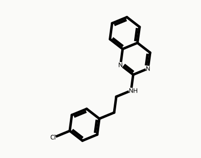 Clc1ccc(CCNc2ncc3ccccc3n2)cc1